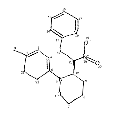 CC1=CC=C(N2OCCC[C@@H]2C(Cc2ccccc2)[N+](=O)[O-])CC1